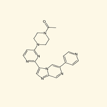 CC(=O)N1CCN(c2ccnc(-c3cnc4cnc(-c5ccncc5)cn34)n2)CC1